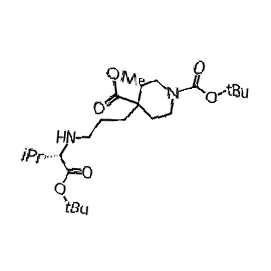 COC(=O)C1(CCCN[C@H](C(=O)OC(C)(C)C)C(C)C)CCN(C(=O)OC(C)(C)C)CC1